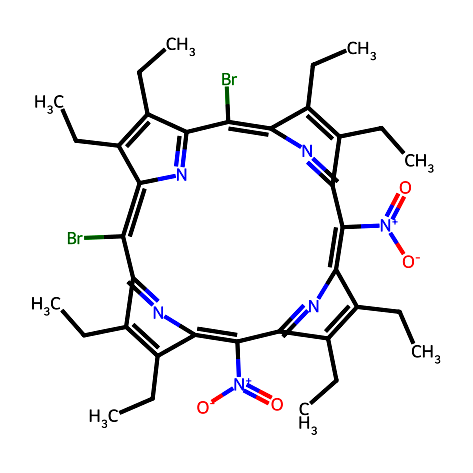 CCC1=C(CC)C2=C(Br)C3=NC(=C([N+](=O)[O-])C4=NC(=C([N+](=O)[O-])C5=NC(=C(Br)C1=N2)C(CC)=C5CC)C(CC)=C4CC)C(CC)=C3CC